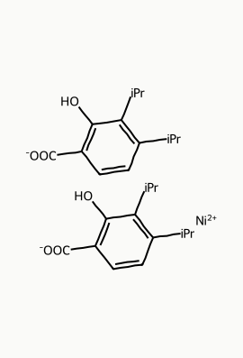 CC(C)c1ccc(C(=O)[O-])c(O)c1C(C)C.CC(C)c1ccc(C(=O)[O-])c(O)c1C(C)C.[Ni+2]